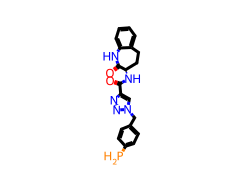 O=C(N[C@H]1CCc2ccccc2NC1=O)c1cn(Cc2ccc(P)cc2)nn1